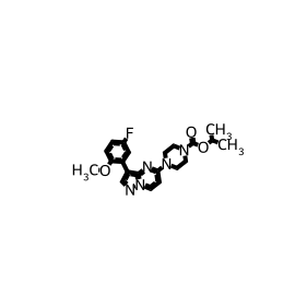 COc1ccc(F)cc1-c1cnn2ccc(N3CCN(C(=O)OC(C)C)CC3)nc12